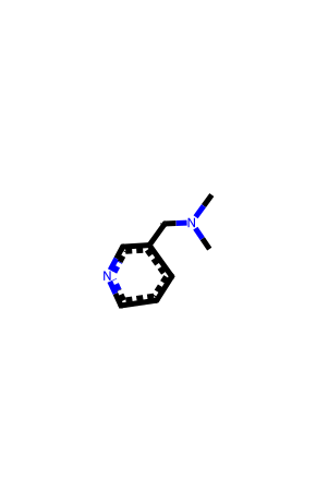 CN(C)[CH]c1cccnc1